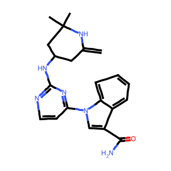 C=C1CC(Nc2nccc(-n3cc(C(N)=O)c4ccccc43)n2)CC(C)(C)N1